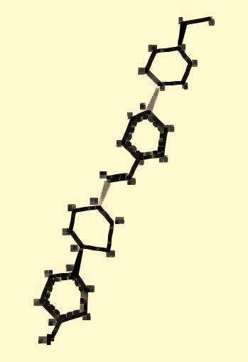 CC[C@H]1CC[C@H](c2ccc(C=C[C@H]3CC[C@H](c4ccc(F)cc4)CC3)cc2)CC1